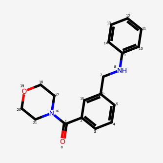 O=C(c1cccc(CNc2ccccc2)c1)N1CCOCC1